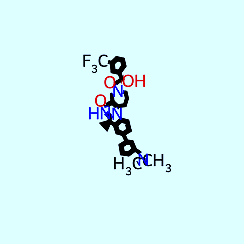 CN(C)Cc1cccc(-c2cccc(C3(c4nc5c(c(=O)[nH]4)CN(C(=O)[C@H](O)c4cccc(C(F)(F)F)c4)CCC5)CC3)c2)c1